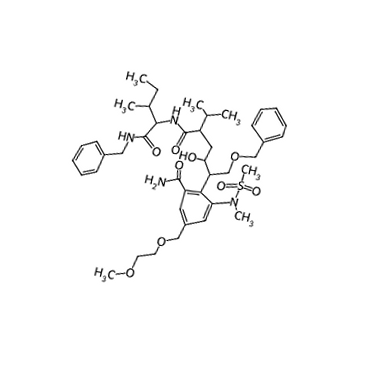 CCC(C)C(NC(=O)C(CC(O)C(COCc1ccccc1)c1c(C(N)=O)cc(COCCOC)cc1N(C)S(C)(=O)=O)C(C)C)C(=O)NCc1ccccc1